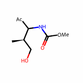 COC(=O)NC(C(C)=O)[C@H](C)CO